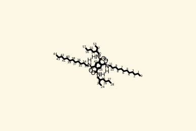 CCCCCCCCCCCCNC(=O)c1cc(C(=O)NCC(CC)CCCC)c(C(=O)NCCCCCCCCCCCC)cc1C(=O)NCC(CC)CCCC